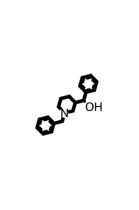 O[C@H](c1ccccc1)C1CCCN(Cc2ccccc2)C1